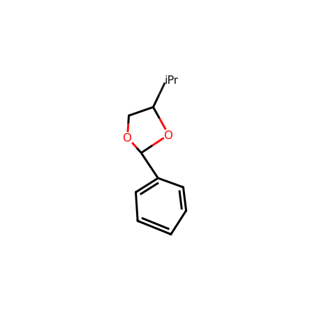 CC(C)C1COC(c2ccccc2)O1